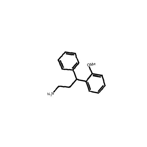 COc1ccccc1C(CCN)c1ccccc1